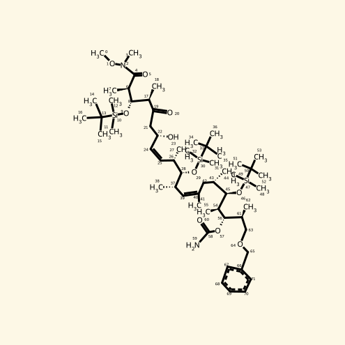 CON(C)C(=O)[C@H](C)[C@@H](O[Si](C)(C)C(C)(C)C)[C@@H](C)C(=O)C[C@H](O)/C=C\[C@H](C)[C@H](O[Si](C)(C)C(C)(C)C)[C@@H](C)/C=C(/C)C[C@H](C)[C@@H](O[Si](C)(C)C(C)(C)C)[C@H](C)[C@@H](OC(N)=O)[C@@H](C)COCc1ccccc1